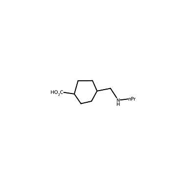 CCCNCC1CCC(C(=O)O)CC1